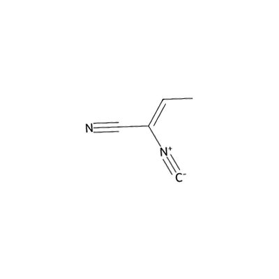 [C-]#[N+]/C(C#N)=C\C